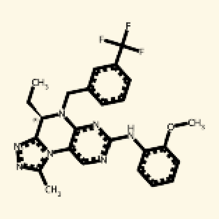 CC[C@@H]1c2nnc(C)n2-c2cnc(Nc3ccccc3OC)nc2N1Cc1cccc(C(F)(F)F)c1